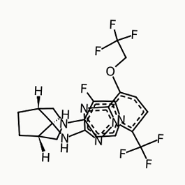 Fc1cnccc1N1C[C@H]2CC[C@@H](C1)[C@@H]2Nc1nc2c(OCC(F)(F)F)ccc(C(F)(F)F)n2n1